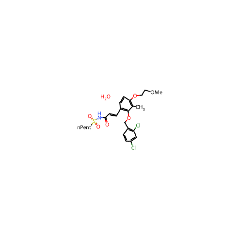 CCCCCS(=O)(=O)NC(=O)C=Cc1ccc(OCCOC)c(C)c1OCc1ccc(Cl)cc1Cl.O